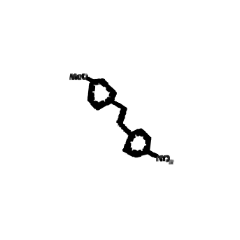 COc1ccc(C=Cc2ccc([N+](=O)[O-])cc2)cc1